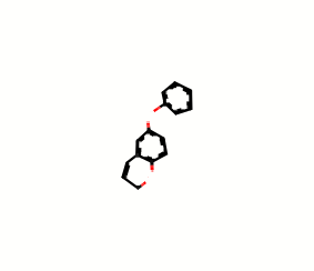 C1=Cc2cc(Oc3ccccc3)ccc2OC1